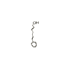 OC/C=C/CCCCc1ccccc1